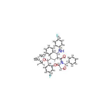 CC(C)(C)[Si](C)(C)OC(CCC(C(=O)N1C(=O)COC1c1ccccc1)C(Nc1ccc(F)cc1)c1cccc(C#N)c1)c1ccc(F)cc1